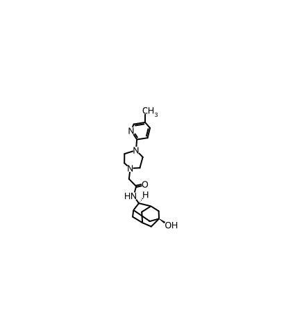 Cc1ccc(N2CCN(CC(=O)N[C@H]3C4CC5CC3C[C@@](O)(C5)C4)CC2)nc1